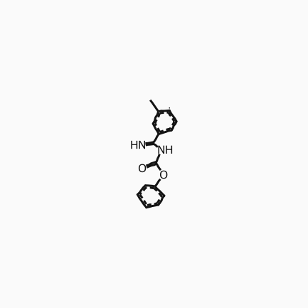 Cc1[c]ccc(C(=N)NC(=O)Oc2ccccc2)c1